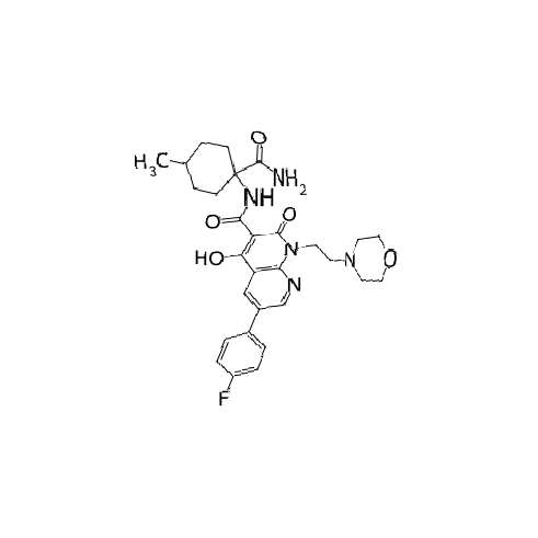 CC1CCC(NC(=O)c2c(O)c3cc(-c4ccc(F)cc4)cnc3n(CCN3CCOCC3)c2=O)(C(N)=O)CC1